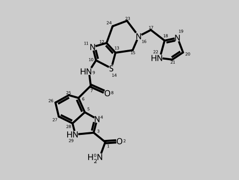 NC(=O)c1nc2c(C(=O)Nc3nc4c(s3)CN(Cc3ncc[nH]3)CC4)cccc2[nH]1